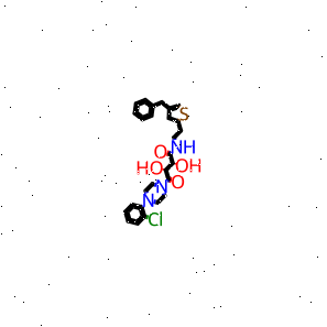 O=C(NCCC1CC(Cc2ccccc2)=CS1)[C@H](O)[C@@H](O)C(=O)N1CCN(c2ccccc2Cl)CC1